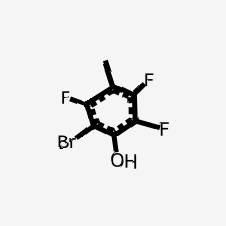 Cc1c(F)c(F)c(O)c(Br)c1F